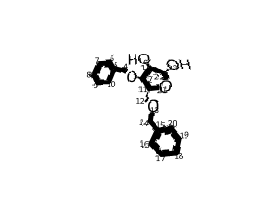 O[C@@H]1[C@@H](OCc2ccccc2)[C@@H](COCc2ccccc2)O[C@H]1O